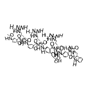 COc1ccc(NC(=O)[C@@H](CCCNC(=N)N)NC(=O)c2cc(NC(=O)[C@@H](CCCNC(=N)N)NC(=O)c3cc(NC(=O)[C@@H](CCCNC(=N)N)NC(=O)c4cc(NC(C)=O)ccc4OC)ccc3OC)ccc2OCC(=O)O)cc1C(=O)N[C@H](Cc1c[nH]c2ccccc12)C(N)=O